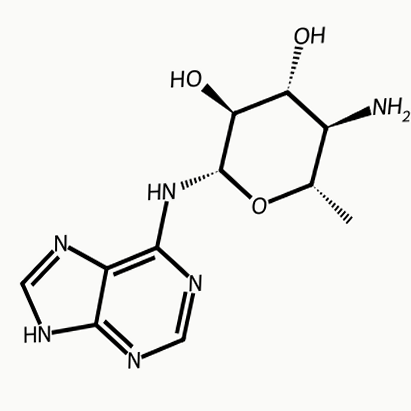 C[C@@H]1O[C@H](Nc2ncnc3[nH]cnc23)[C@@H](O)[C@H](O)[C@H]1N